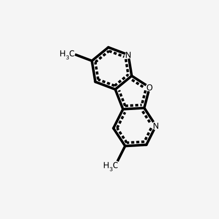 Cc1cnc2oc3ncc(C)cc3c2c1